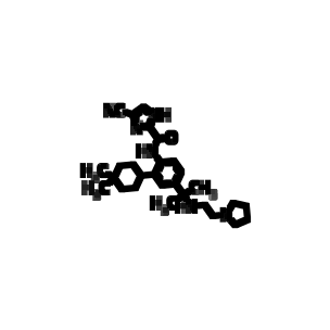 CC1(C)CCC(c2cc(C(C)(C)NCCN3CCCC3)ccc2NC(=O)c2nc(C#N)c[nH]2)CC1